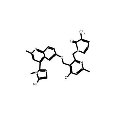 Cc1cc(Cl)c(COc2ccc3nc(C)cc(-c4ncc(C#N)n4C)c3c2)c(Cn2cccc(C(F)(F)F)c2=O)n1